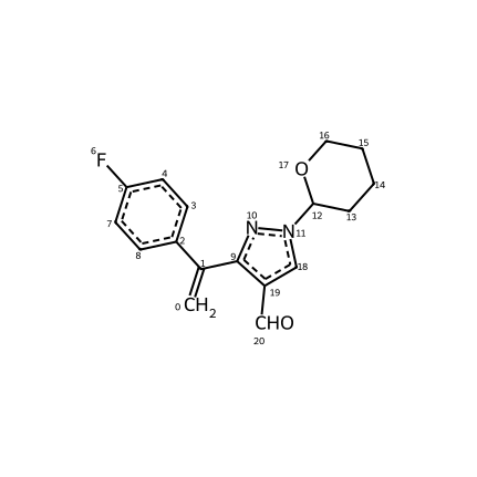 C=C(c1ccc(F)cc1)c1nn(C2CCCCO2)cc1C=O